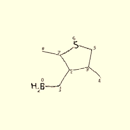 BCC1C(C)CSC1C